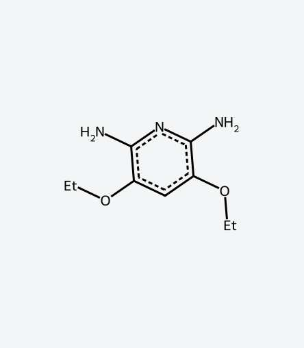 CCOc1cc(OCC)c(N)nc1N